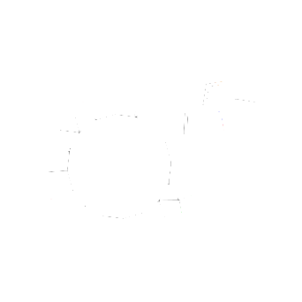 CC(=Cc1csc(C)[n+]1[O-])C1CC2C(Cl)(Cl)C2(C)CCCC(C)C(O)C(C)C(=O)C(C)(C)C(O)CC(=O)O1